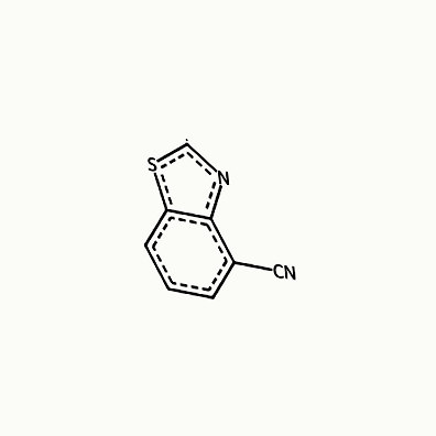 N#Cc1cccc2s[c]nc12